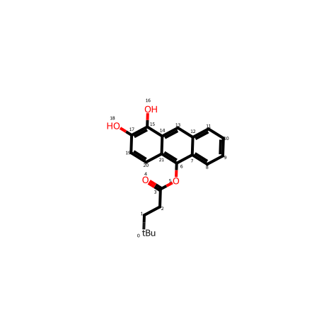 CC(C)(C)CCC(=O)Oc1c2ccccc2cc2c(O)c(O)ccc12